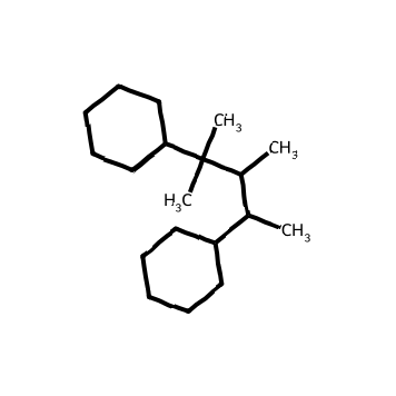 CC(C1CCCCC1)C(C)C(C)(C)C1CCCCC1